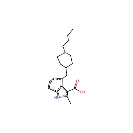 CCCCN1CCC(Cc2cccc3[nH]c(C)c(C(=O)O)c23)CC1